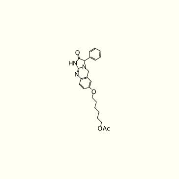 CC(=O)OCCCCCCOc1ccc2c(c1)CN1C(=N2)NC(=O)C1c1ccccc1